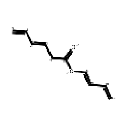 C=CC=CCC(=O)OC=CC=C